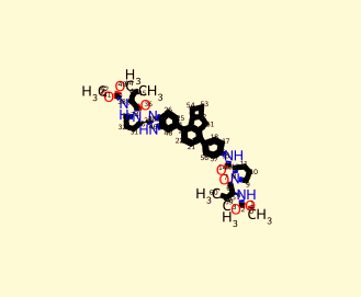 COC(=O)N[C@H](C(=O)N1CCC[C@H]1C(=O)Nc1ccc(-c2ccc(-c3ccc4nc([C@@H]5CCCN5C(=O)[C@@H](NC(=O)OC)C(C)C)[nH]c4c3)c3c2CC2CCC32)cc1)C(C)C